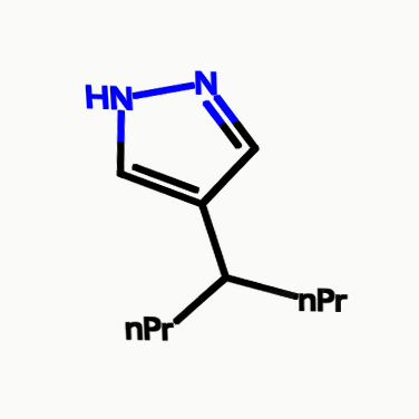 CCCC(CCC)c1cn[nH]c1